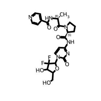 C[C@@H](NC(=O)c1ccncc1)C(=O)N1CCC[C@H]1C(=O)Nc1ccn(C2OC(CO)C(O)C2(F)F)c(=O)n1